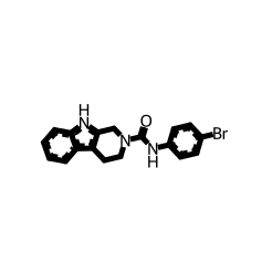 O=C(Nc1ccc(Br)cc1)N1CCc2c([nH]c3ccccc23)C1